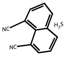 N#Cc1cccc2cccc(C#N)c12.S